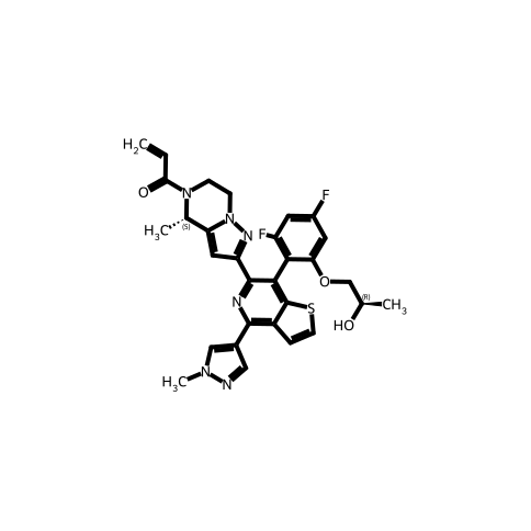 C=CC(=O)N1CCn2nc(-c3nc(-c4cnn(C)c4)c4ccsc4c3-c3c(F)cc(F)cc3OC[C@@H](C)O)cc2[C@@H]1C